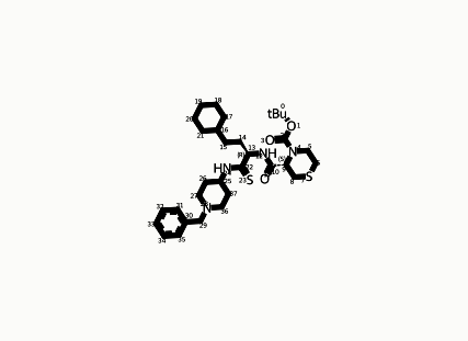 CC(C)(C)OC(=O)N1CCSC[C@@H]1C(=O)N[C@H](CCC1CCCCC1)C(=S)NC1CCN(Cc2ccccc2)CC1